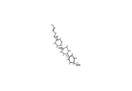 C/C=C/CC[Si@H]1CC[C@H]([SiH]2CCC(c3ccc(CCC)cc3)CC2)CC1